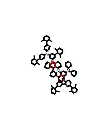 Cc1cccc(C)c1-c1ccc(N(c2ccc(-c3c(C)cccc3C)cc2)c2cc(-c3c(C)cccc3C)cc(N(c3ccccc3)c3cccc(N(c4cc(N(c5ccccc5)c5ccccc5)cc(-n5c6ccc(-c7c(C)cccc7C)cc6c6cc(-c7c(C)cccc7C)ccc65)c4)c4c(-c5ccccc5)cccc4-c4ccccc4)c3)c2)cc1